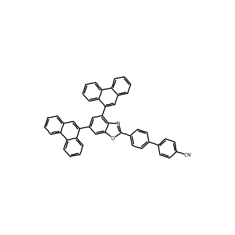 N#Cc1ccc(-c2ccc(-c3nc4c(-c5cc6ccccc6c6ccccc56)cc(-c5cc6ccccc6c6ccccc56)cc4o3)cc2)cc1